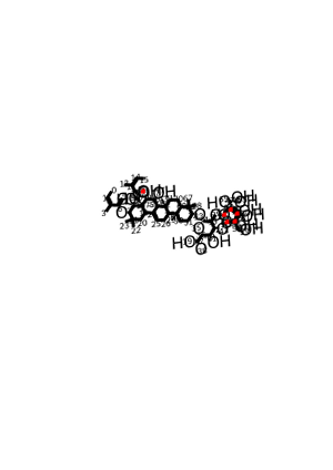 C/C=C(/C)C(=O)O[C@H]1[C@H](OC(=O)/C(C)=C\C)[C@@]2(CO)C(CC1(C)C)C1=CCC3[C@@]4(C)CC[C@H](O[C@@H]5OC(C(=O)O)[C@@H](O)[C@@H](O[C@@H]6O[C@@H](CO)C(O)[C@@H]6O)C5O[C@@H]5OC(CO)[C@H](O)[C@@H](O)C5O)C(C)(C)C4CC[C@@]3(C)[C@]1(C)[C@@H](O)[C@H]2O